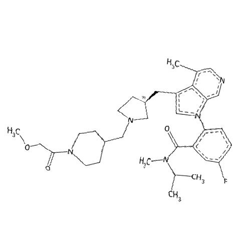 COCC(=O)N1CCC(CN2CC[C@@H](Cc3cn(-c4ccc(F)cc4C(=O)N(C)C(C)C)c4cncc(C)c34)C2)CC1